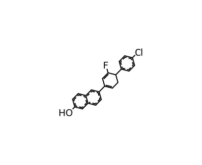 Oc1ccc2cc(C3=CCC(c4ccc(Cl)cc4)C(F)=C3)ccc2c1